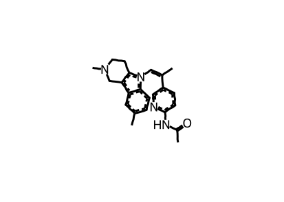 CC(=O)Nc1ccc(/C(C)=C\n2c3c(c4cc(C)ccc42)CN(C)CC3)cn1